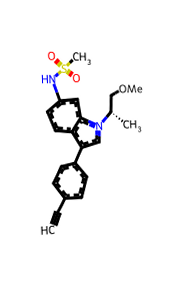 C#Cc1ccc(-c2cn([C@@H](C)COC)c3cc(NS(C)(=O)=O)ccc23)cc1